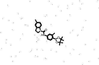 Cc1ccc2c(c1)CCN2C(=O)Nc1ccc(B2OC(C)(C)C(C)(C)O2)c(C)c1